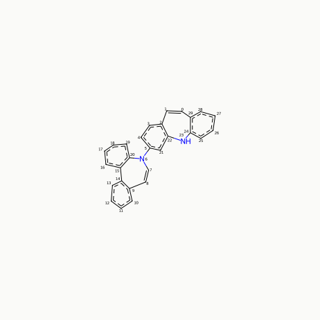 C1=Cc2ccc(N3C=Cc4ccccc4-c4ccccc43)cc2Nc2ccccc21